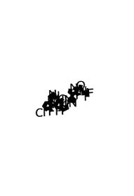 O=C(c1nccc(-c2cnc([C@@H]3CC[C@@H]4CC(c5c(-n6cnnn6)ccc(Cl)c5F)=CC(=O)N43)[nH]2)c1F)N1CC(F)(F)C1